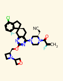 C=C(F)C(=O)N1CCN(c2nc(OC[C@@H]3CCN3C3COC3)nc3c2CC[C@@]2(CCc4c(Cl)cccc42)[C@H]3F)C[C@@H]1CC#N